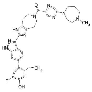 CCc1cc(O)c(F)cc1-c1ccc2c(-c3nc4c([nH]3)CCN(C(=O)c3cnc(N5CCCN(C)CC5)cn3)CC4)n[nH]c2c1